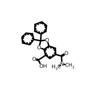 CN(C)C(=O)c1cc2c(c(C(=O)O)c1)OC(c1ccccc1)(c1ccccc1)O2